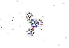 Fc1c(-c2csc3ccccc23)ncc2c(N3CCCOCC3)nc(OCC34CCCN3CCC4)nc12